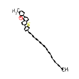 C#CC#CC#CC#CC#CC#CC#CC#CC#CC#CC#Cc1ccc2c(c1)sc1c2ccc2c1ccc1c3ccc(C)cc3oc12